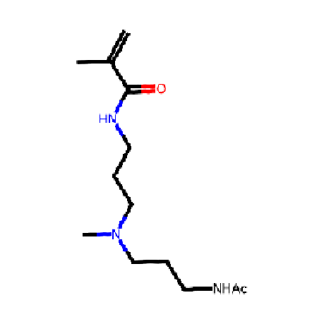 C=C(C)C(=O)NCCCN(C)CCCNC(C)=O